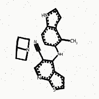 C1CN2CCC12.Cc1c(Nc2c(C#N)cnc3sccc23)ccc2[nH]ccc12